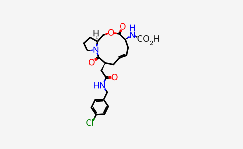 O=C(O)N[C@H]1C/C=C/C[C@@H](CC(=O)NCc2ccc(Cl)cc2)C(=O)N2CCC[C@H]2COC1=O